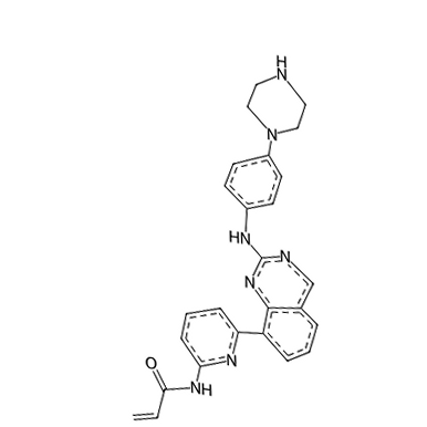 C=CC(=O)Nc1cccc(-c2cccc3cnc(Nc4ccc(N5CCNCC5)cc4)nc23)n1